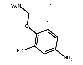 CNCOc1ccc(N)cc1C(F)(F)F